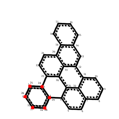 c1ccc(-c2ccc3cccc4c5cc6ccccc6c6ccc(-c7ccccc7)c(c2c34)c65)cc1